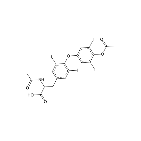 CC(=O)NC(Cc1cc(I)c(Oc2cc(I)c(OC(C)=O)c(I)c2)c(I)c1)C(=O)O